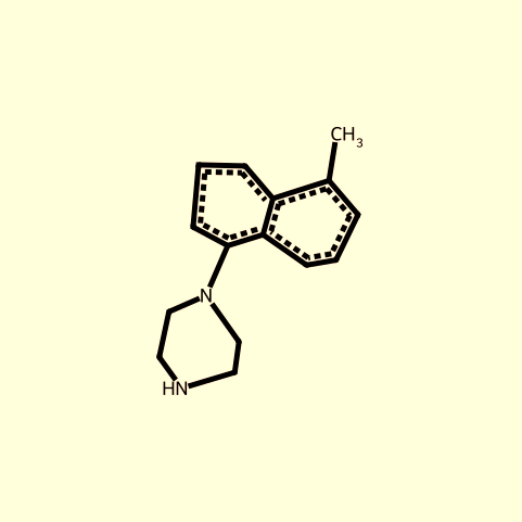 Cc1cccc2c(N3CCNCC3)cccc12